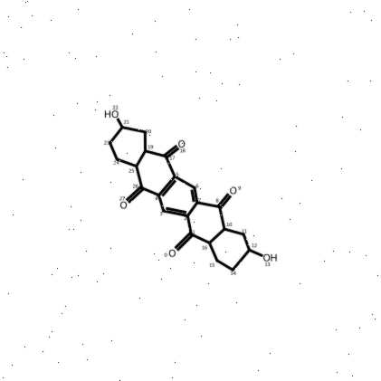 O=C1c2cc3c(cc2C(=O)C2CC(O)CCC12)C(=O)C1CC(O)CCC1C3=O